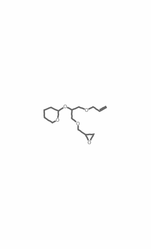 C=CCOCC(COCC1CO1)OC1CCCCO1